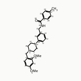 COc1ccc(CN2CCN(c3cccc(CNC(=O)c4ccc(C)cc4)c3)CC2)c(OC)c1